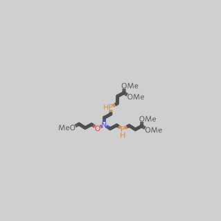 COCCCON(CCPCCC(OC)OC)CCPCCC(OC)OC